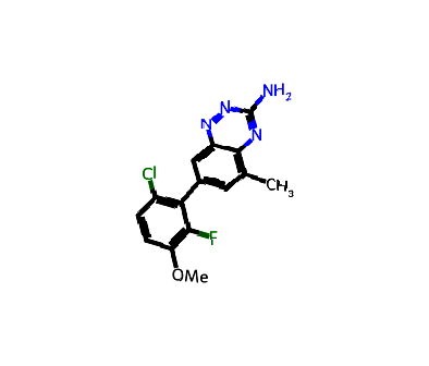 COc1ccc(Cl)c(-c2cc(C)c3nc(N)nnc3c2)c1F